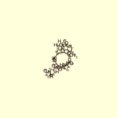 CCn1c(-c2cccnc2[C@H](C)OC)c2c3cc(ccc31)-c1csc(n1)C[C@H](NC(=O)C1CC[C@@H]3CCC(=O)N3C1)C(=O)N1CCC[C@H](N1)C(=O)OCC(C)(C)C2